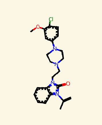 C=C(C)n1c(=O)n(CCN2CCN(c3ccc(Cl)c(OC)c3)CC2)c2ccccc21